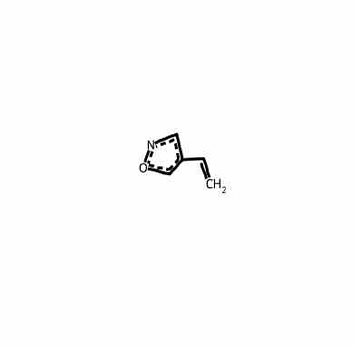 C=Cc1cnoc1